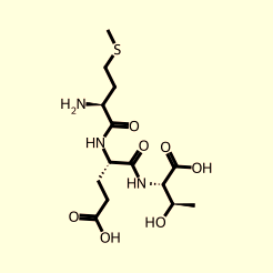 CSCC[C@H](N)C(=O)N[C@@H](CCC(=O)O)C(=O)N[C@H](C(=O)O)[C@@H](C)O